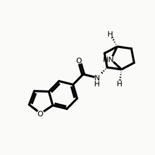 O=C(N[C@@H]1C[C@H]2CC[C@@H]1N2)c1ccc2occc2c1